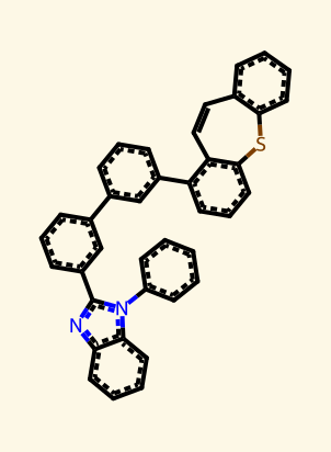 C1=Cc2c(cccc2-c2cccc(-c3cccc(-c4nc5ccccc5n4-c4ccccc4)c3)c2)Sc2ccccc21